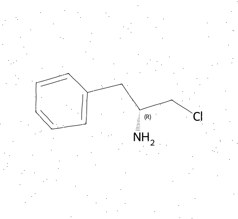 N[C@@H](CCl)Cc1ccccc1